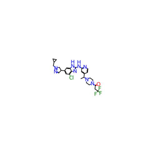 CC(c1ccnc(Nc2nc3c(Cl)cc(C4C=NN(CC5CC5)C4)cc3[nH]2)c1)N1CCN(C(=O)CC(F)(F)F)CC1